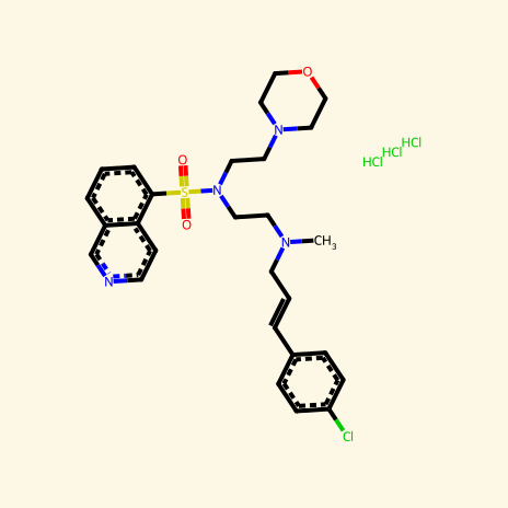 CN(CC=Cc1ccc(Cl)cc1)CCN(CCN1CCOCC1)S(=O)(=O)c1cccc2cnccc12.Cl.Cl.Cl